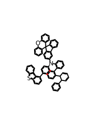 C1=CC(c2ccccc2)C(c2ccccc2-c2ccccc2N(c2ccc(-c3cccc4sc5ccccc5c34)cc2)c2ccc3c(c2)-c2ccccc2C32c3ccccc3Oc3ccccc32)C=C1